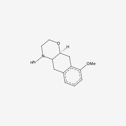 CCCN1CCO[C@H]2Cc3c(cccc3OC)CC21